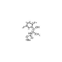 C[C@@H](NC(=O)OC(C)(C)C)[C@@H](O)c1cc(F)ccc1F